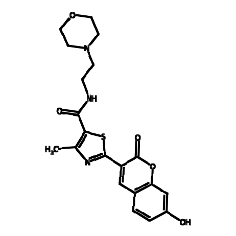 Cc1nc(-c2cc3ccc(O)cc3oc2=O)sc1C(=O)NCCN1CCOCC1